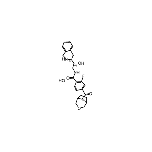 Cl.O=C(NC[C@@H](O)[C@@H]1Cc2ccccc2CN1)c1ccc(C(=O)N2C3CCC2COC3)cc1F